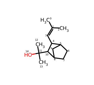 CC(C)=CC1C2CCC(C2)C1C(C)(C)O